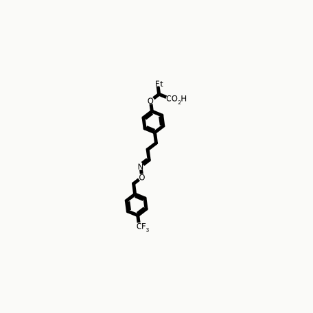 CCC(Oc1ccc(CCC=NOCc2ccc(C(F)(F)F)cc2)cc1)C(=O)O